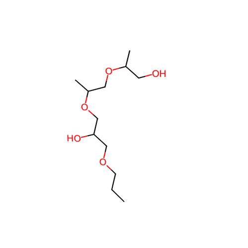 CCCOCC(O)COC(C)COC(C)CO